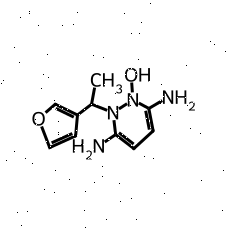 CC(c1ccoc1)N1C(N)=CC=C(N)N1O